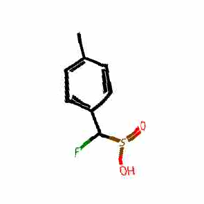 Cc1ccc(C(F)S(=O)O)cc1